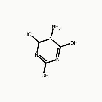 NN1C(O)=NC(O)=NC1O